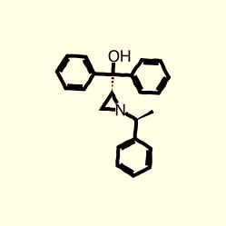 C[C@@H](c1ccccc1)N1C[C@@H]1C(O)(c1ccccc1)c1ccccc1